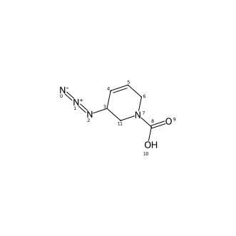 [N-]=[N+]=NC1C=CCN(C(=O)O)C1